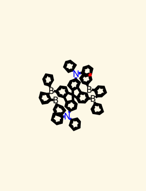 c1ccc(B2c3ccccc3B(c3ccccc3)c3c2ccc2c3-c3cc(N(c4ccccc4)c4ccccc4)ccc3C23c2ccc(N(c4ccccc4)c4ccccc4)cc2-c2c3ccc3c2B(c2ccccc2)c2ccccc2B3c2ccccc2)cc1